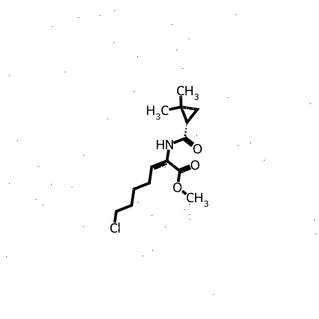 COC(=O)/C(=C\CCCCCl)NC(=O)[C@H]1CC1(C)C